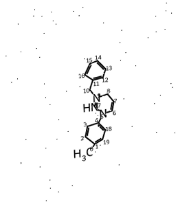 Cc1ccc(N2C=CCN(Cc3ccccc3)N2)cc1